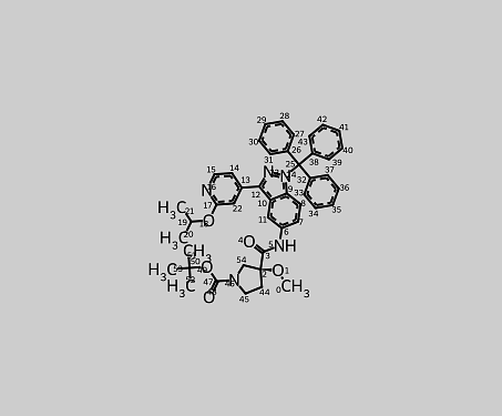 CO[C@@]1(C(=O)Nc2ccc3c(c2)c(-c2ccnc(OC(C)C)c2)nn3C(c2ccccc2)(c2ccccc2)c2ccccc2)CCN(C(=O)OC(C)(C)C)C1